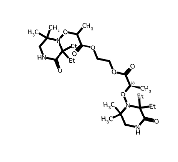 CCC1(CC)C(=O)NCC(C)(C)N1OC(C)C(=O)OCCOC(=O)[C@@H](C)ON1C(C)(C)CNC(=O)C1(CC)CC